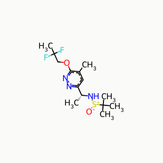 Cc1cc([C@@H](C)N[S+]([O-])C(C)(C)C)nnc1OCC(C)(F)F